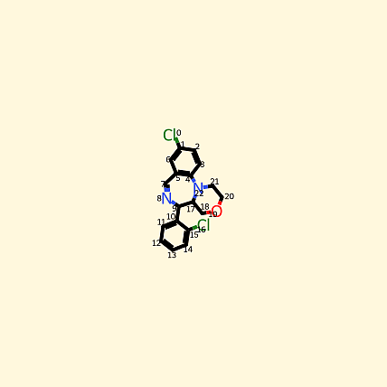 Clc1ccc2c(c1)C=NC(c1ccccc1Cl)C1COCCN21